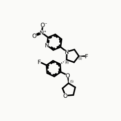 O=[N+]([O-])c1ccc(N2C[C@@H](F)C[C@@H]2c2cc(F)ccc2O[C@H]2CCOC2)cn1